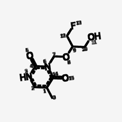 Cc1c[nH]c(=O)n(COC(CO)CF)c1=O